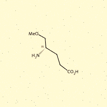 COC[C@@H](N)CCC(=O)O